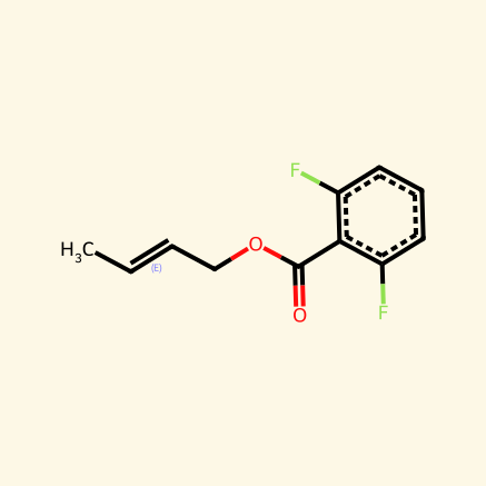 C/C=C/COC(=O)c1c(F)cccc1F